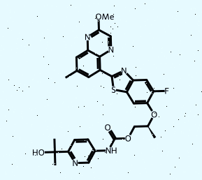 COc1cnc2c(-c3nc4cc(F)c(O[C@@H](C)COC(=O)Nc5ccc(C(C)(C)O)nc5)cc4s3)cc(C)cc2n1